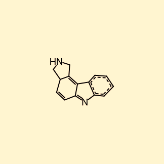 C1=CC2CNCC2=C2C1=Nc1ccccc12